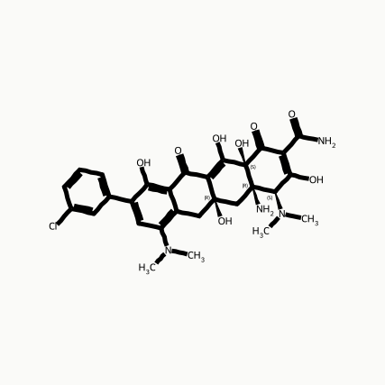 CN(C)c1cc(-c2cccc(Cl)c2)c(O)c2c1C[C@@]1(O)C[C@@]3(N)[C@H](N(C)C)C(O)=C(C(N)=O)C(=O)[C@@]3(O)C(O)=C1C2=O